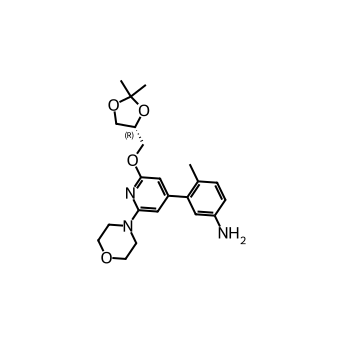 Cc1ccc(N)cc1-c1cc(OC[C@@H]2COC(C)(C)O2)nc(N2CCOCC2)c1